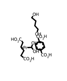 CCCC(O)O.O=C(O)CCCCC(=O)O.O=C(O)c1ccc(C(=O)O)cc1.OCCCCO